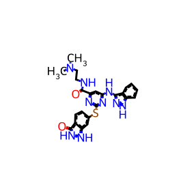 CN(C)CCNC(=O)c1cc(Nc2n[nH]c3ccccc23)nc(Sc2ccc3c(=O)[nH][nH]c3c2)n1